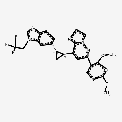 COc1ncc(-c2cc([C@H]3C[C@@H]3c3ccc4ncn(CC(F)(F)F)c4c3)c3nccn3n2)c(OC)n1